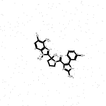 Cc1nc(C(=O)N2CCCC2(C)c2nc3c(C)c(Cl)ccc3n2C)c(-c2cccc(Cl)c2)s1